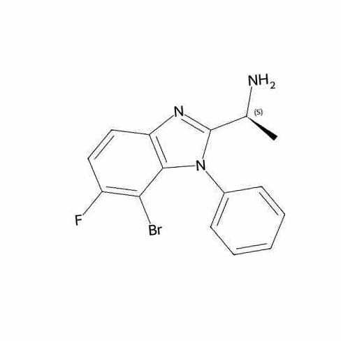 C[C@H](N)c1nc2ccc(F)c(Br)c2n1-c1ccccc1